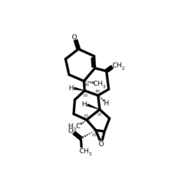 C=C1C[C@@H]2[C@H](CC[C@@]3(C)[C@H]2CC2O[C@]23C(C)=O)[C@@]2(C)CCC(=O)C=C12